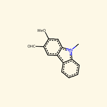 COc1cc2c(cc1C=O)c1ccccc1n2C